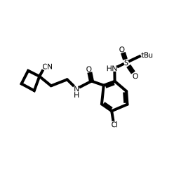 CC(C)(C)S(=O)(=O)Nc1ccc(Cl)cc1C(=O)NCCC1(C#N)CCC1